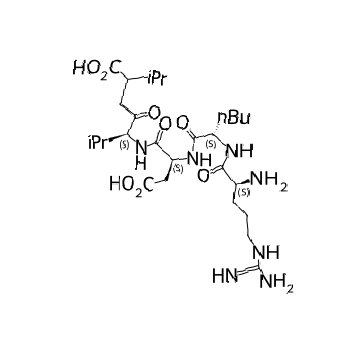 CCCC[C@H](NC(=O)[C@@H](N)CCCNC(=N)N)C(=O)N[C@@H](CC(=O)O)C(=O)N[C@H](C(=O)CC(C(=O)O)C(C)C)C(C)C